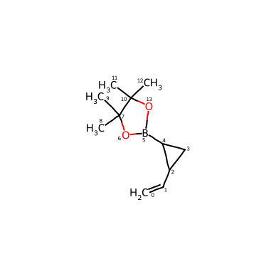 C=CC1CC1B1OC(C)(C)C(C)(C)O1